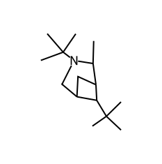 CC1C2CC(CN1C(C)(C)C)C2C(C)(C)C